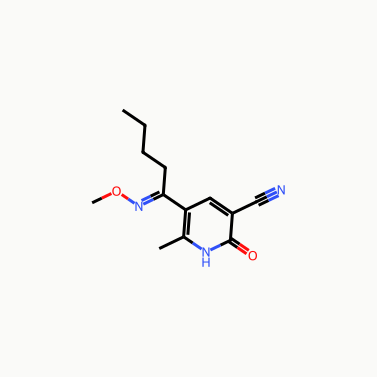 CCCCC(=NOC)c1cc(C#N)c(=O)[nH]c1C